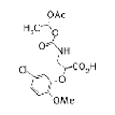 COc1ccc(Cl)cc1O[C@@H](CNC(=O)O[C@H](C)OC(C)=O)C(=O)O